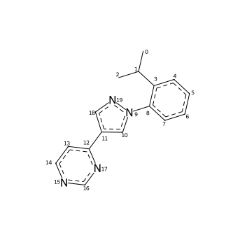 CC(C)c1ccccc1-n1cc(-c2ccncn2)cn1